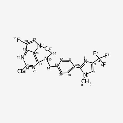 Cn1cc(C(F)(F)F)nc1-c1ccc(CN2CCn3cc(F)c4nc(Cl)nc2c43)cc1